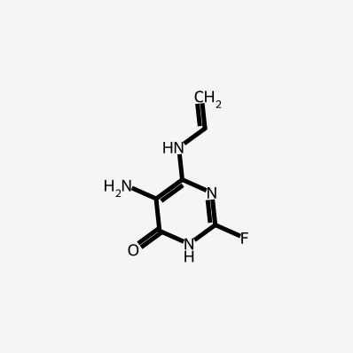 C=CNc1nc(F)[nH]c(=O)c1N